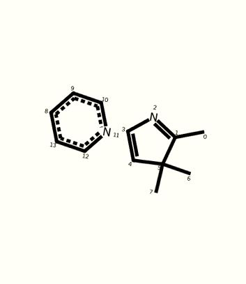 CC1=NC=CC1(C)C.c1ccncc1